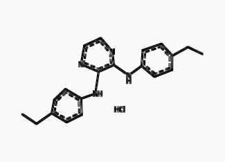 CCc1ccc(Nc2nccnc2Nc2ccc(CC)cc2)cc1.Cl